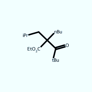 CCCCC(CC(C)C)(C(=O)OCC)C(=O)C(C)(C)C